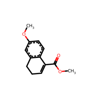 COC(=O)C1=CCCc2cc(OC)ccc21